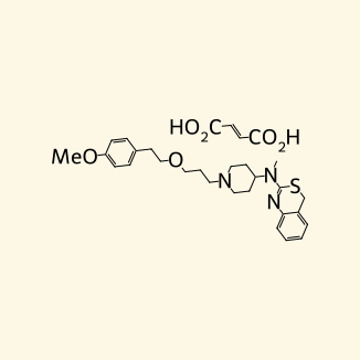 COc1ccc(CCOCCCN2CCC(N(C)C3=Nc4ccccc4CS3)CC2)cc1.O=C(O)C=CC(=O)O